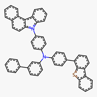 c1ccc(-c2cccc(N(c3ccc(-c4cccc5c4sc4ccccc45)cc3)c3ccc(-n4c5ccccc5c5c6ccccc6ccc54)cc3)c2)cc1